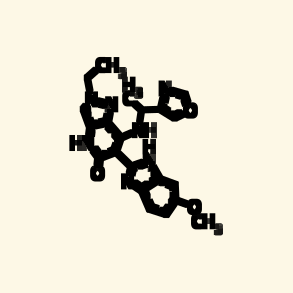 CCn1cc2[nH]c(=O)c(-c3nc4ccc(OC)cc4[nH]3)c(NC(C)c3cocn3)c2n1